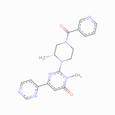 C[C@@H]1CN(C(=O)c2cccnc2)CCN1c1nc(-c2ccncn2)cc(=O)n1C